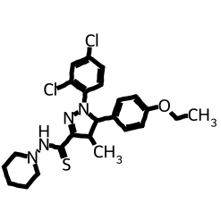 CCOc1ccc(C2C(C)C(C(=S)NN3CCCCC3)=NN2c2ccc(Cl)cc2Cl)cc1